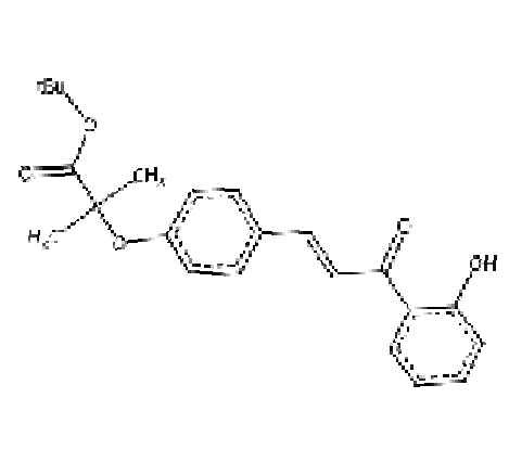 CC(C)(C)OC(=O)C(C)(C)Oc1ccc(/C=C/C(=O)c2ccccc2O)cc1